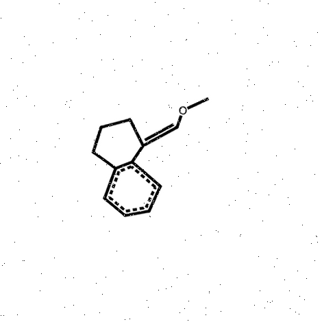 COC=C1CCCc2ccccc21